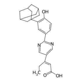 CC/C(=C\C(=O)O)c1cnc(-c2ccc(O)c(C34CC5CC(CC(C5)C3)C4)c2)nc1